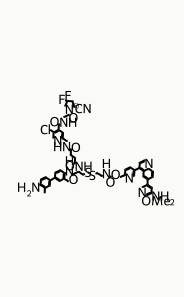 COc1ncc(-c2ccc3nccc(-c4ccc(COC(=O)NCCSSCC(NC(=O)CCC(=O)NCc5cc(C(=O)NCC(=O)N6CC(F)(F)C[C@H]6C#N)c(Cl)cn5)C(=O)Nc5ccc(-c6ccc(N)c(C)c6)cc5C)nc4)c3c2)cc1N